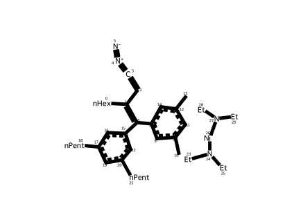 CCCCCCC(C=C=[N+]=[N-])=C(c1cc(C)cc(C)c1)c1cc(CCCCC)cc(CCCCC)c1.CC[N](CC)[Ni][N](CC)CC